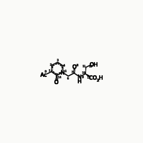 CC(=O)c1cccn(CC(=O)N[C@@H](CO)C(=O)O)c1=O